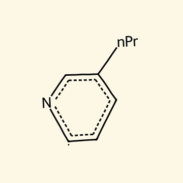 CCCc1cc[c]nc1